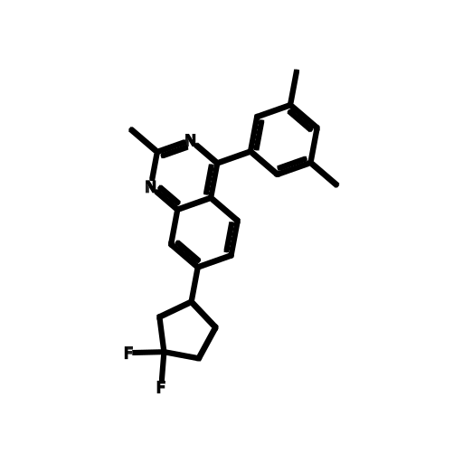 Cc1cc(C)cc(-c2nc(C)nc3cc(C4CCC(F)(F)C4)ccc23)c1